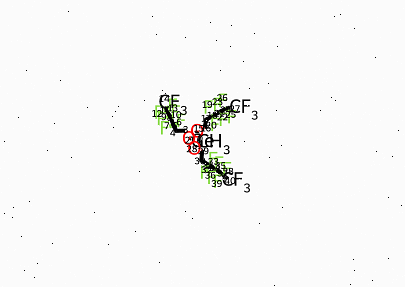 [CH3][Ge]([O]CCC(F)(F)C(F)(F)C(F)(F)C(F)(F)F)([O]CCC(F)(F)C(F)(F)C(F)(F)C(F)(F)F)[O]CCC(F)(F)C(F)(F)C(F)(F)C(F)(F)F